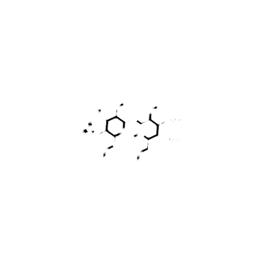 CO[C@@H]([C@H](OC)[C@@H](COS(=O)(=O)O)OS(=O)(=O)O)[C@@H](CO[C@@H]1O[C@H](COS(=O)(=O)O)[C@@H](O[SH](=O)=O)[C@H](OS(=O)(=O)O)[C@H]1OS(=O)(=O)O)OS(=O)(=O)O